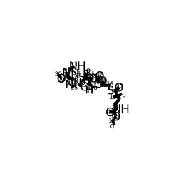 CCOC(=O)NCCC(C)(C)C(=O)SCCO[P@]1(=O)OC[C@H]2O[C@@H](n3cnc4c(OC)nc(N)nc43)[C@](C)(F)[C@@H]2O1